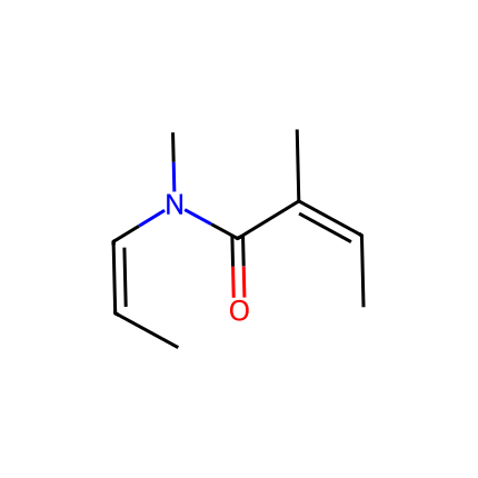 C/C=C\N(C)C(=O)/C(C)=C\C